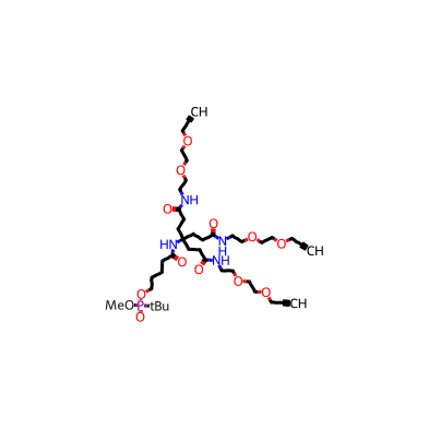 C#CCOCCOCCNC(=O)CCC(CCC(=O)NCCOCCOCC#C)(CCC(=O)NCCOCCOCC#C)NC(=O)CCCCOP(=O)(OC)C(C)(C)C